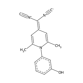 [C-]#[N+]C([N+]#[C-])=C1C=C(C)N(c2cccc(O)c2)C(C)=C1